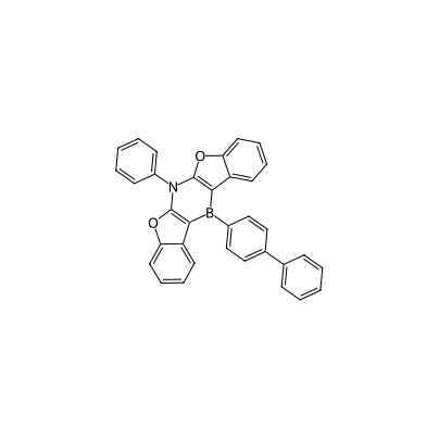 c1ccc(-c2ccc(B3c4c(oc5ccccc45)N(c4ccccc4)c4oc5ccccc5c43)cc2)cc1